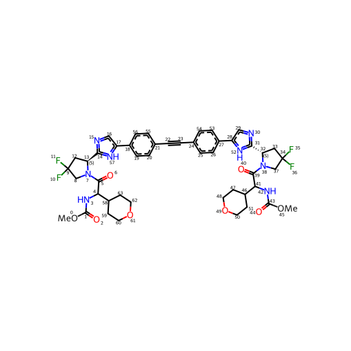 COC(=O)NC(C(=O)N1CC(F)(F)C[C@H]1c1ncc(-c2ccc(C#Cc3ccc(-c4cnc([C@@H]5CC(F)(F)CN5C(=O)C(NC(=O)OC)C5CCOCC5)[nH]4)cc3)cc2)[nH]1)C1CCOCC1